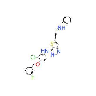 Fc1cccc(COc2ccc(Nc3ncnc4cc(C#CCNCc5ccccc5)sc34)cc2Cl)c1